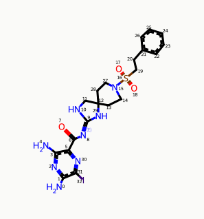 Nc1nc(N)c(C(=O)/N=C2\NCC3(CCN(S(=O)(=O)CCc4ccccc4)CC3)N2)nc1I